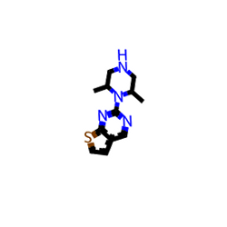 CC1CNCC(C)N1c1ncc2ccsc2n1